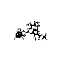 COc1c(C[C@H](NC(=O)/C(=N\O)c2nnn[nH]2)B2O[C@@H]3C[C@@H]4C[C@@H](C4(C)C)[C@]3(C)O2)cccc1C(=O)OC(C)(C)C